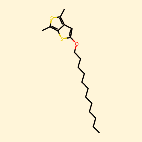 CCCCCCCCCCCCOc1cc2c(C)sc(C)c2s1